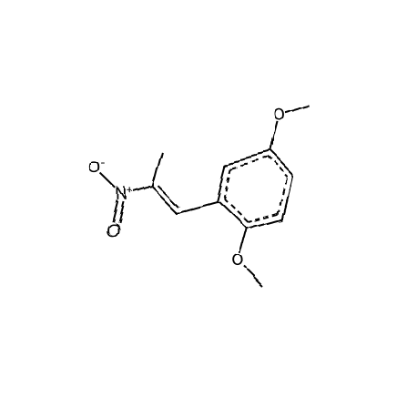 COc1ccc(OC)c(/C=C(\C)[N+](=O)[O-])c1